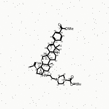 C=C(C)[C@@H]1CC[C@]2(NCCN3CCN(C(=O)OC(C)(C)C)CC3)CC[C@]3(C)[C@H](CC[C@@H]4[C@@]5(C)CC=C(c6ccc(C(=O)OC)cc6)C(C)(C)[C@@H]5CC[C@]43C)[C@@H]12